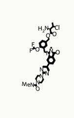 CNC(=O)N1CCN(c2ncc(-c3ccc4c(=O)n(C)n(Cc5cc(COC(=O)[C@@H](N)C(C)Cl)ccc5OC(F)F)c4c3)cn2)CC1